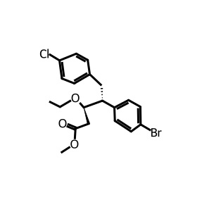 CCO[C@H](CC(=O)OC)[C@H](Cc1ccc(Cl)cc1)c1ccc(Br)cc1